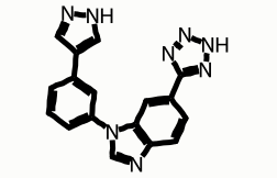 c1cc(-c2cn[nH]c2)cc(-n2cnc3ccc(-c4nn[nH]n4)cc32)c1